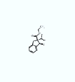 CCOC(=O)C1(C(F)F)Cc2ccccc2C1=O